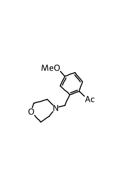 COc1ccc(C(C)=O)c(CN2CCOCC2)c1